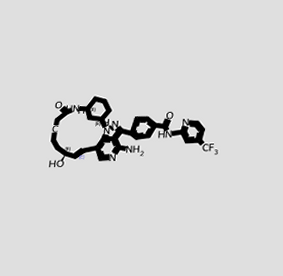 Nc1ncc2c3c1c(-c1ccc(C(=O)Nc4cc(C(F)(F)F)ccn4)cc1)nn3[C@@H]1CCC[C@H](C1)NC(=O)CCCC[C@@H](O)/C=C/2